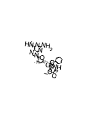 CCOC(=O)[C@@H](C)N[P@](=S)(OC[C@@H]1C[C@H](C)[C@H](n2cnc3c(NC)nc(N)nc32)O1)Oc1ccccc1